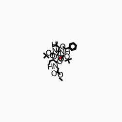 CCOC(=O)CNC(=O)C(CC)OC(=O)C(NC(=O)OC(C)(C)C)(NC(=O)OC(C)(C)C)C(OCc1ccccc1)C(C)C